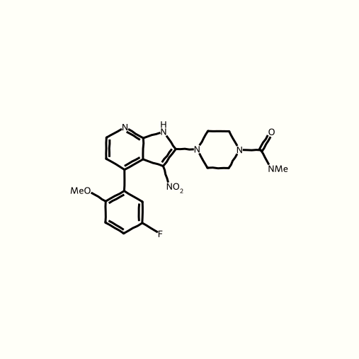 CNC(=O)N1CCN(c2[nH]c3nccc(-c4cc(F)ccc4OC)c3c2[N+](=O)[O-])CC1